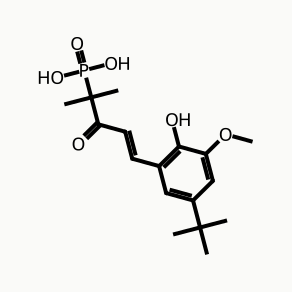 COc1cc(C(C)(C)C)cc(C=CC(=O)C(C)(C)P(=O)(O)O)c1O